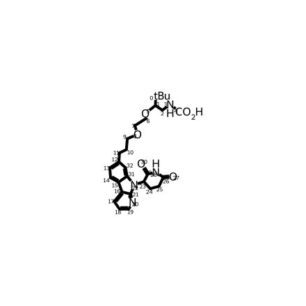 CC(C)(C)C(CNC(=O)O)OCCOCCCc1ccc2c3cccnc3n(C3CCC(=O)NC3=O)c2c1